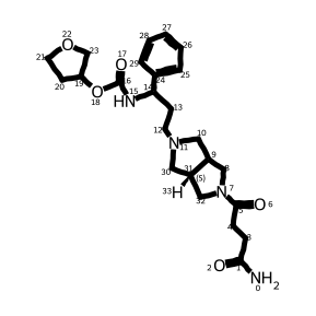 NC(=O)CCC(=O)N1CC2CN(CCC(NC(=O)OC3CCOC3)c3ccccc3)C[C@H]2C1